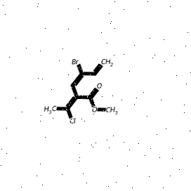 C=C/C(Br)=C\C(C(=O)OC)=C(/C)Cl